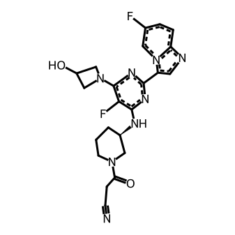 N#CCC(=O)N1CCC[C@@H](Nc2nc(-c3cnc4ccc(F)cn34)nc(N3CC(O)C3)c2F)C1